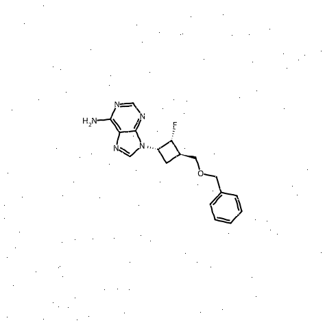 Nc1ncnc2c1ncn2[C@H]1C[C@H](COCc2ccccc2)[C@H]1F